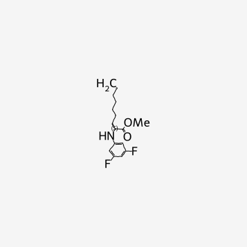 C=CCCCCC[C@H](Nc1cc(F)cc(F)c1)C(=O)OC